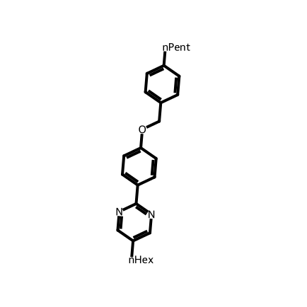 CCCCCCc1cnc(-c2ccc(OCc3ccc(CCCCC)cc3)cc2)nc1